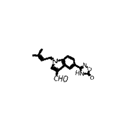 CC(C)=CCn1cc(C=O)c2cc(-c3noc(=O)[nH]3)ccc21